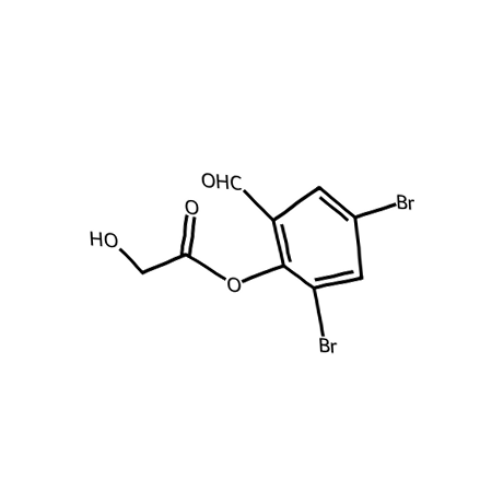 O=Cc1cc(Br)cc(Br)c1OC(=O)CO